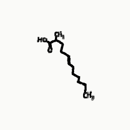 CCCCCC/C=C/CCC(C)C(=O)O